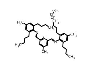 CCCCc1cc(C)cc(CCCC)c1N=Cc1cc(C)cc(C=Nc2c(CCCC)cc(C)cc2CCCC)n1.[Cl-].[Cl-].[V+2]